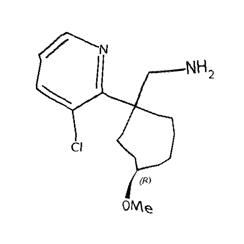 CO[C@@H]1CCC(CN)(c2ncccc2Cl)C1